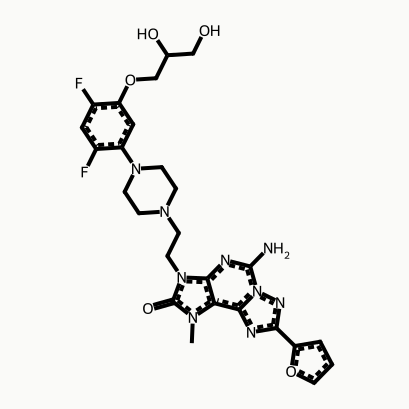 Cn1c(=O)n(CCN2CCN(c3cc(OCC(O)CO)c(F)cc3F)CC2)c2nc(N)n3nc(-c4ccco4)nc3c21